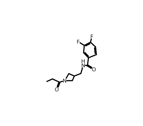 CCC(=O)N1CC(CNC(=O)c2ccc(F)c(F)c2)C1